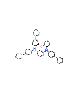 c1ccc(-c2ccc(N3c4ccccc4B4c5cc(-c6ccccc6)ccc5N(c5ccc(-c6ccccc6)cc5)c5cccc3c54)cc2)cc1